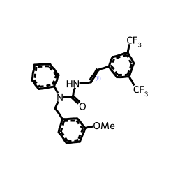 COc1cccc(CN(C(=O)N/C=C/c2cc(C(F)(F)F)cc(C(F)(F)F)c2)c2ccccc2)c1